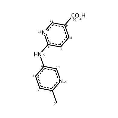 Cc1ccc(Nc2ccc(C(=O)O)cn2)cn1